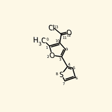 Cc1oc(-c2cccs2)cc1C(=O)Cl